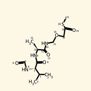 CC(C)[C@H](NC=O)C(=O)N[C@@H](C)C(=O)NCOCC(=O)SI